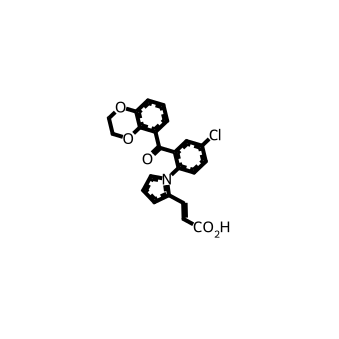 O=C(O)/C=C/c1cccn1-c1ccc(Cl)cc1C(=O)c1cccc2c1OCCO2